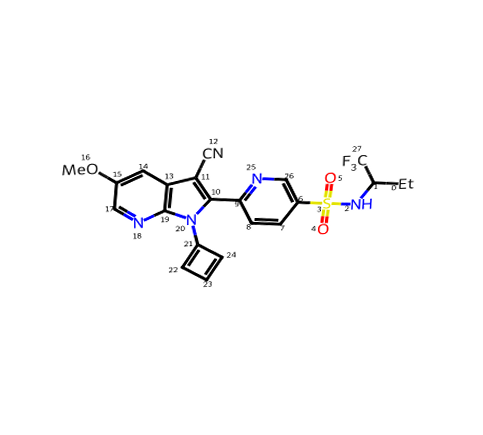 CCC(NS(=O)(=O)c1ccc(-c2c(C#N)c3cc(OC)cnc3n2C2=CC=C2)nc1)C(F)(F)F